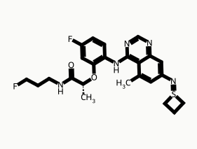 Cc1cc(N=S2CCC2)cc2ncnc(Nc3ccc(F)cc3O[C@H](C)C(=O)NCCCF)c12